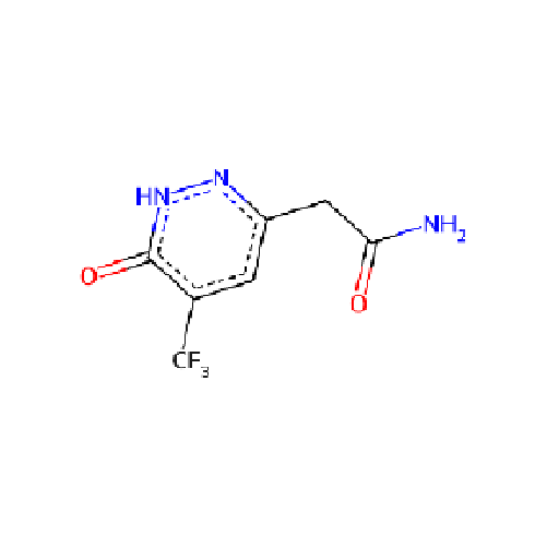 NC(=O)Cc1cc(C(F)(F)F)c(=O)[nH]n1